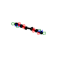 O=C(Oc1ccc(C#Cc2ccc(OC(=O)c3ccc(NC(=O)c4ccc(Cl)cc4Cl)cc3)cc2)cc1)c1ccc(NC(=O)c2ccc(Cl)cc2Cl)cc1